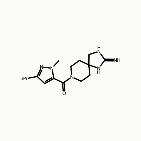 CCCc1cc(C(=O)N2CCC3(CC2)CNC(=N)N3)n(C)n1